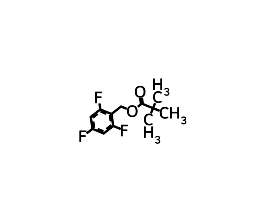 CC(C)(C)C(=O)OCc1c(F)cc(F)cc1F